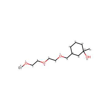 CCOCCOCCOCC1CCCC(C)(O)C1